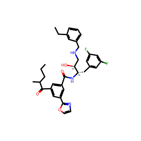 CCCC(C)C(=O)c1cc(C(=O)N[C@@H](Cc2cc(F)cc(F)c2)[C@@H](O)CNCc2cccc(CC)c2)cc(-c2ncco2)c1